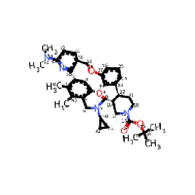 Cc1cccc(CN(C(=O)[C@H]2CN(C(=O)OC(C)(C)C)CC[C@@H]2c2cccc(OCc3ccc(N(C)C)nc3)c2)C2CC2)c1C